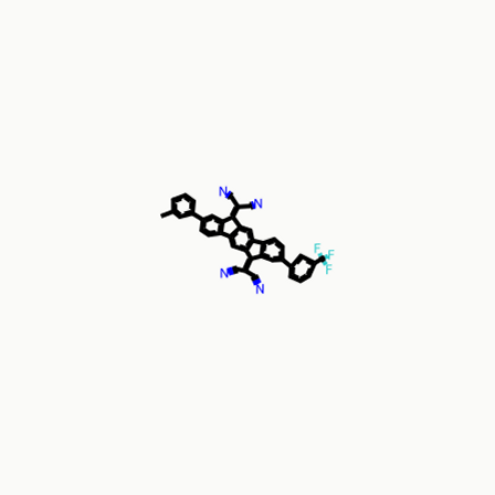 Cc1cccc(-c2ccc3c(c2)C(=C(C#N)C#N)c2cc4c(cc2-3)C(=C(C#N)C#N)c2cc(-c3cccc(C(F)(F)F)c3)ccc2-4)c1